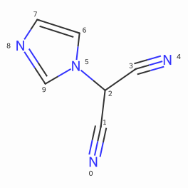 N#CC(C#N)n1ccnc1